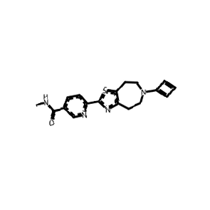 CNC(=O)c1ccc(-c2nc3c(s2)CCN(C2=CC=C2)CC3)nc1